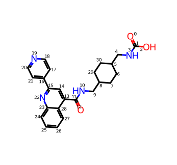 O=C(O)NCC1CCC(CNC(=O)c2cc(-c3ccncc3)nc3ccccc23)CC1